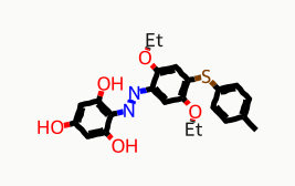 CCOc1cc(Sc2ccc(C)cc2)c(OCC)cc1N=Nc1c(O)cc(O)cc1O